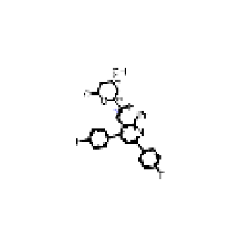 CC(C)c1nc(-c2ccc(F)cc2)cc(-c2ccc(F)cc2)c1/C=C(\F)[C@@H]1C[C@@H](O)CC(=O)O1